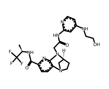 C[C@@H](NC(=O)c1ccc2c(n1)N(CC(=O)Nc1cc(NCCO)ccn1)[C@H]1CCN2C1)C(F)(F)F